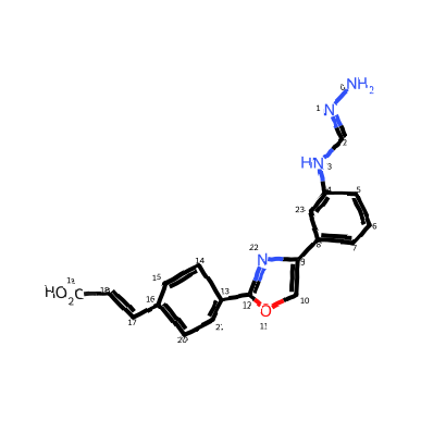 NN=CNc1cccc(-c2coc(-c3ccc(C=CC(=O)O)cc3)n2)c1